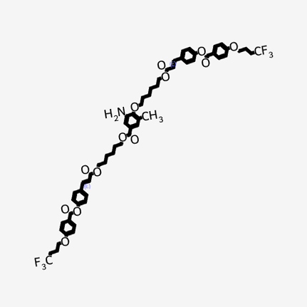 Cc1cc(C(=O)OCCCCCCOC(=O)/C=C/c2ccc(OC(=O)c3ccc(OCCCC(F)(F)F)cc3)cc2)cc(N)c1OCCCCCCOC(=O)/C=C/c1ccc(OC(=O)c2ccc(OCCCC(F)(F)F)cc2)cc1